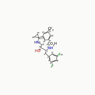 O=C(O)N[C@@H](Cc1cc(F)cc(F)c1)[C@H](O)CNC1(c2cccc(C(F)(F)F)c2)CC1